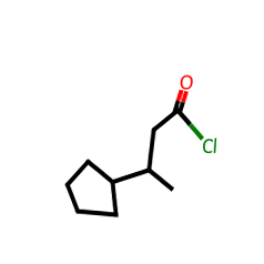 CC(CC(=O)Cl)C1CCCC1